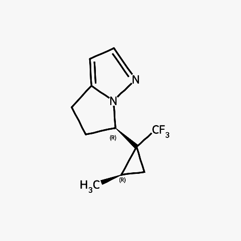 C[C@@H]1CC1([C@H]1CCc2ccnn21)C(F)(F)F